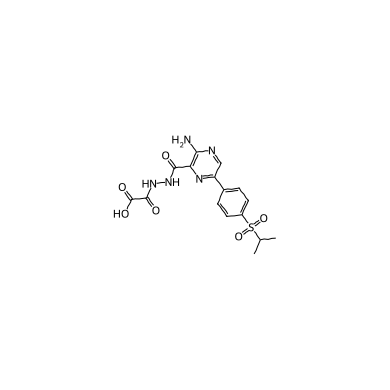 CC(C)S(=O)(=O)c1ccc(-c2cnc(N)c(C(=O)NNC(=O)C(=O)O)n2)cc1